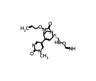 C=CCON1C(=O)N2CC1C(c1cnc(=O)n(C)c1)=C[C@H]2CBOC=N